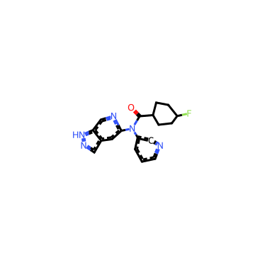 O=C(C1CCC(F)CC1)N(c1cccnc1)c1cc2cn[nH]c2cn1